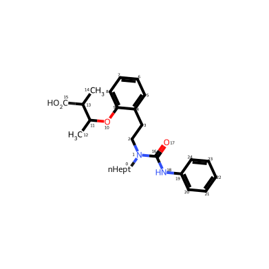 CCCCCCCN(CCc1ccccc1OC(C)C(C)C(=O)O)C(=O)Nc1ccccc1